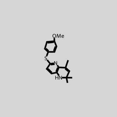 COc1ccc(Sc2ccc3c(n2)C(C)=CC(C)(C)N3)cc1